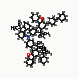 CC1(C)c2ccccc2-c2c(N(c3ccc4c(c3)C(C)(C)c3cc(-c5ccc(-c6ccccc6)cc5)c5oc6ccccc6c5c3-4)c3ccc4c(c3)C(C)(C)c3c5c(c6c(oc7ccccc76)c3-4)-c3ccccc3C5(C)C)cccc21